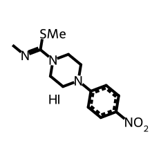 CN=C(SC)N1CCN(c2ccc([N+](=O)[O-])cc2)CC1.I